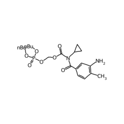 CCCCOP(=O)(OCCCC)OCOC(=O)N(C(=O)c1ccc(C)c(N)c1)C1CC1